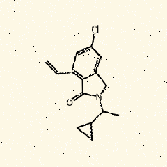 C=Cc1cc(Cl)cc2c1C(=O)N(C(C)C1CC1)C2